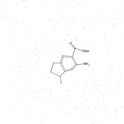 COC(=O)c1cc2c(cc1N)C(C)CC2